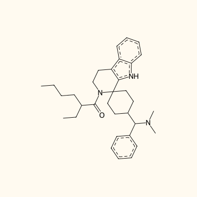 CCCCC(CC)C(=O)N1CCc2c([nH]c3ccccc23)C12CCC(C(c1ccccc1)N(C)C)CC2